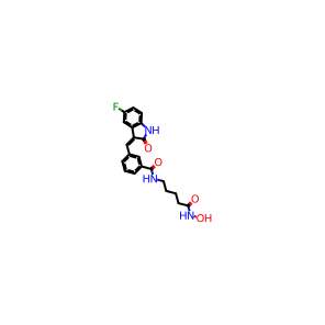 O=C(CCCCNC(=O)c1cccc(/C=C2\C(=O)Nc3ccc(F)cc32)c1)NO